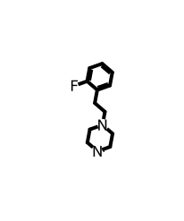 Fc1ccccc1CCN1CC[N]CC1